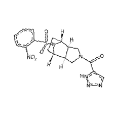 O=C(c1cnn[nH]1)N1C[C@@H]2[C@H](C1)[C@H]1CC[C@@H]2N1S(=O)(=O)c1ccccc1[N+](=O)[O-]